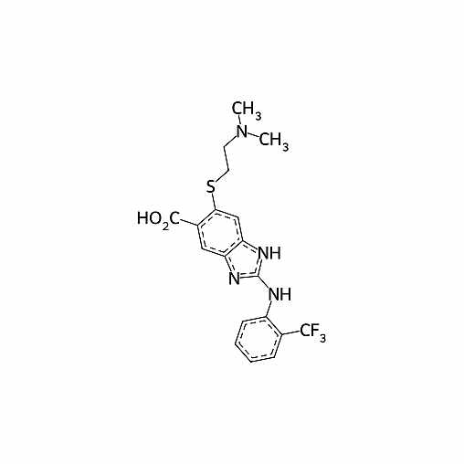 CN(C)CCSc1cc2[nH]c(Nc3ccccc3C(F)(F)F)nc2cc1C(=O)O